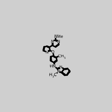 CNc1nccc(-c2cccnc2Oc2ccc(Nc3nc4ccccc4n3C)cc2C)n1